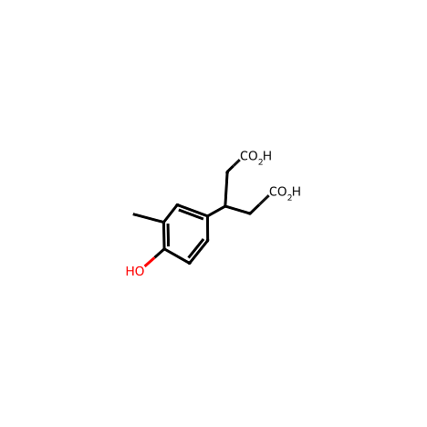 Cc1cc(C(CC(=O)O)CC(=O)O)ccc1O